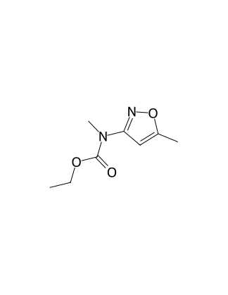 CCOC(=O)N(C)c1cc(C)on1